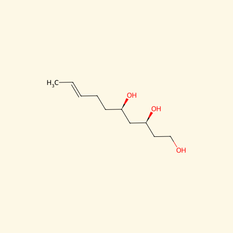 C/C=C/CC[C@@H](O)C[C@@H](O)CCO